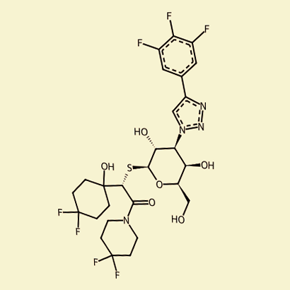 O=C([C@@H](S[C@@H]1O[C@H](CO)[C@H](O)[C@H](n2cc(-c3cc(F)c(F)c(F)c3)nn2)[C@H]1O)C1(O)CCC(F)(F)CC1)N1CCC(F)(F)CC1